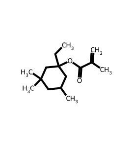 C=C(C)C(=O)OC1(CC)CC(C)CC(C)(C)C1